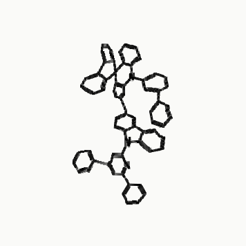 c1ccc(-c2cccc(N3c4ccccc4C4(c5ccccc5-c5ccccc54)c4ccc(-c5ccc6c(c5)c5ccccc5n6-c5cc(-c6ccccc6)cc(-c6ccccc6)n5)cc43)c2)cc1